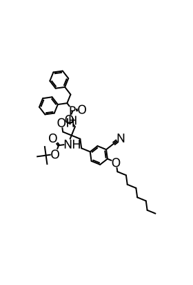 CCCCCCCCOc1ccc(CCC(CO)(CO[PH](=O)C(Cc2ccccc2)c2ccccc2)NC(=O)OC(C)(C)C)cc1C#N